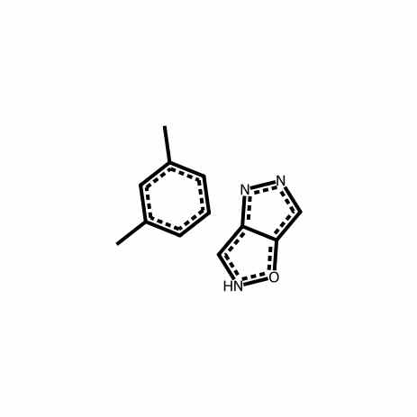 Cc1cccc(C)c1.c1[nH]oc2cnnc1-2